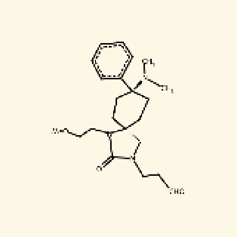 COCCN1C(=O)N(CCC=O)C[C@]12CC[C@](c1ccccc1)(N(C)C)CC2